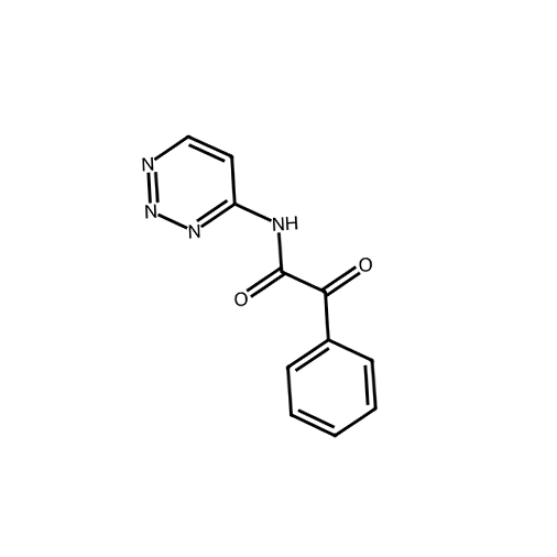 O=C(Nc1ccnnn1)C(=O)c1ccccc1